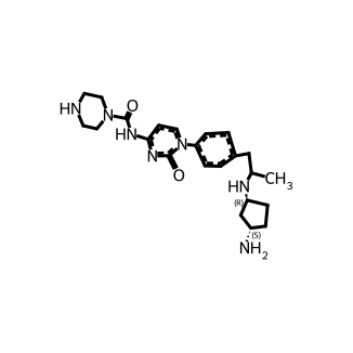 CC(Cc1ccc(-n2ccc(NC(=O)N3CCNCC3)nc2=O)cc1)N[C@@H]1CC[C@H](N)C1